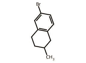 CC1CCc2cc(Br)ccc2C1